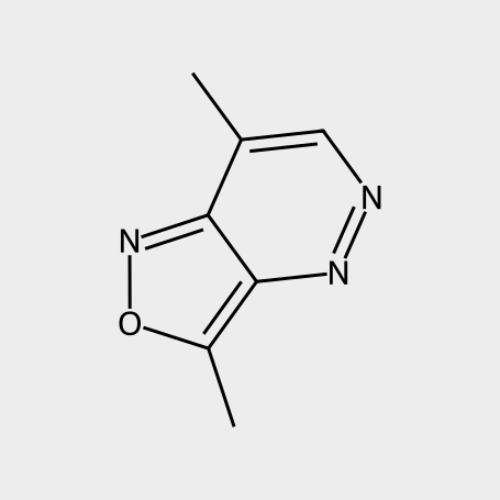 Cc1cnnc2c(C)onc12